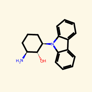 N[C@H]1CCC[C@@H](n2c3ccccc3c3ccccc32)[C@@H]1O